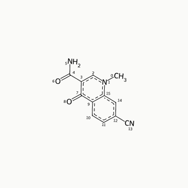 Cn1cc(C(N)=O)c(=O)c2ccc(C#N)cc21